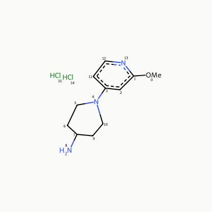 COc1cc(N2CCC(N)CC2)ccn1.Cl.Cl